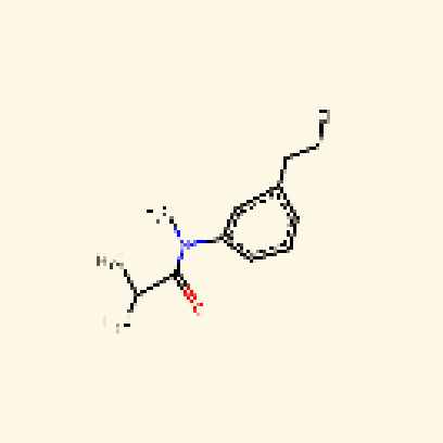 CCCc1cccc(N(C)C(=O)C(C)C)c1